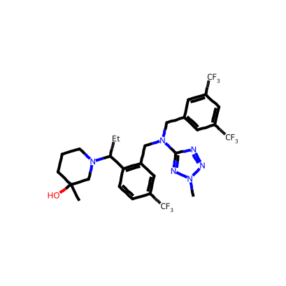 CCC(c1ccc(C(F)(F)F)cc1CN(Cc1cc(C(F)(F)F)cc(C(F)(F)F)c1)c1nnn(C)n1)N1CCCC(C)(O)C1